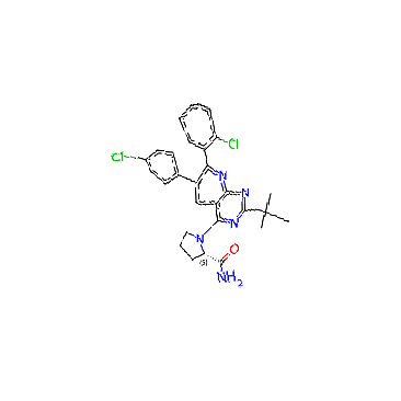 CC(C)(C)c1nc(N2CCC[C@H]2C(N)=O)c2cc(-c3ccc(Cl)cc3)c(-c3ccccc3Cl)nc2n1